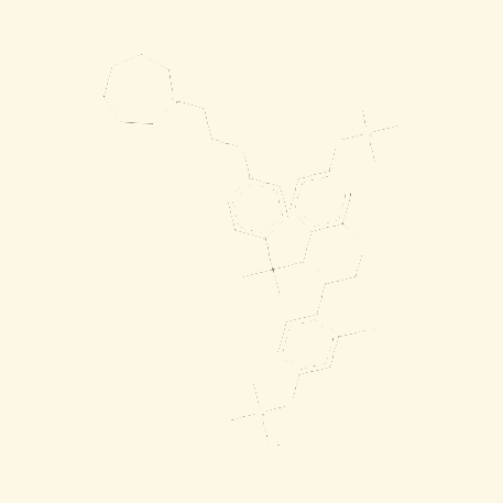 CC(O)(C1=C(c2ccc(O[Si](C)(C)C(C)(C)C)cc2O)COc2cc(O[Si](C)(C)C(C)(C)C)ccc21)c1ccc(OCCN2CCCCCC2)cc1